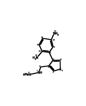 CCCCCNCc1cscc1-c1cc(N)ccc1N